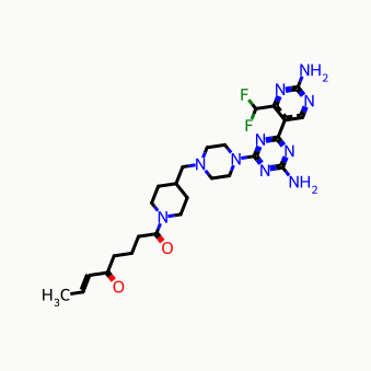 C/C=C/C(=O)CCCC(=O)N1CCC(CN2CCN(c3nc(N)nc(-c4cnc(N)nc4C(F)F)n3)CC2)CC1